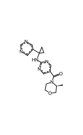 C[C@H]1COCCN1C(=O)c1cnc(NC2(c3cncnc3)CC2)nc1